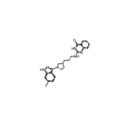 O=c1[nH]c(NCCCN2CCC(c3n[nH]c4cc(F)ccc34)C2)nc2ccccc12